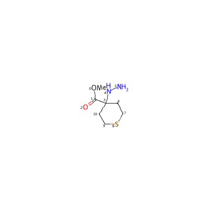 COC(=O)C1(NN)CCSCC1